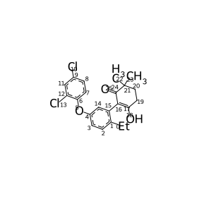 CCc1ccc(Oc2ccc(Cl)cc2Cl)cc1C1=C(O)CCC(C)(C)C1=O